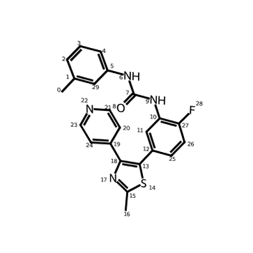 Cc1cccc(NC(=O)Nc2cc(-c3sc(C)nc3-c3ccncc3)ccc2F)c1